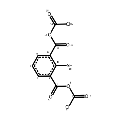 O=C(Cl)OC(=O)c1cccc(C(=O)OC(=O)Cl)c1S